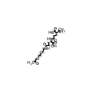 CN[C@@H](CCC(=O)N[C@H](CCC(=O)NCCOCCOCC(C)=O)C(=O)O)C(=O)O